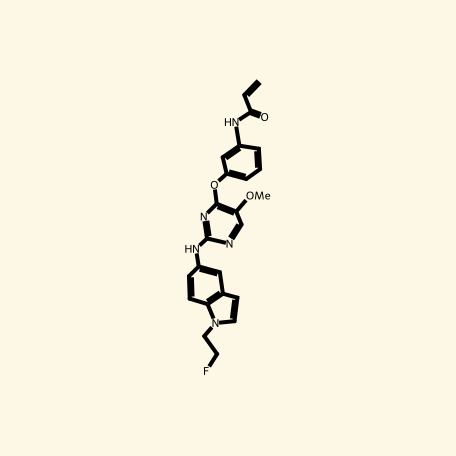 C=CC(=O)Nc1cccc(Oc2nc(Nc3ccc4c(ccn4CCF)c3)ncc2OC)c1